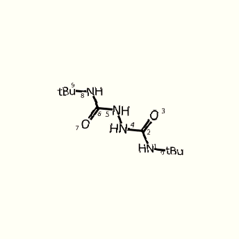 CC(C)(C)NC(=O)NNC(=O)NC(C)(C)C